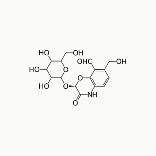 O=Cc1c(CO)ccc2c1O[C@H](OC1OC(CO)C(O)C(O)C1O)C(=O)N2